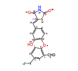 O=Cc1cc(CF)ccc1Oc1ccc(/C=C2\SC(=O)NC2=O)cc1O